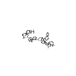 COc1ccc(C(=O)N(CC(C)C)c2cccc(C)n2)c(N2CCC(COc3cc(C(CC(=O)O)C4CC4)ccn3)CC2)c1